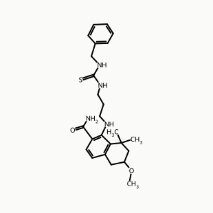 COC1Cc2ccc(C(N)=O)c(NCCCNC(=S)NCc3ccccc3)c2C(C)(C)C1